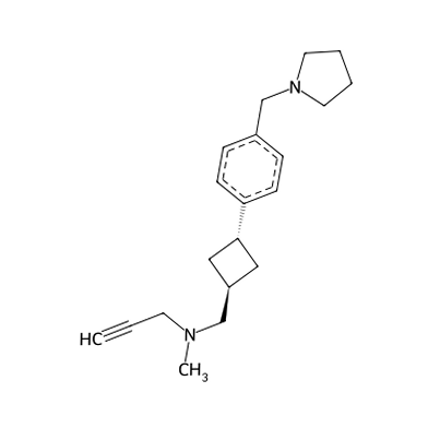 C#CCN(C)C[C@H]1C[C@H](c2ccc(CN3CCCC3)cc2)C1